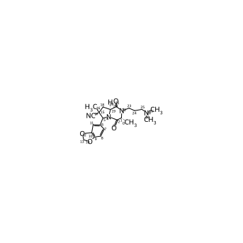 C[C@@H]1C(=O)N2C(c3ccc4c(c3)OCO4)[C@@](C)(C#N)C[C@H]2C(=O)N1CCCN(C)C